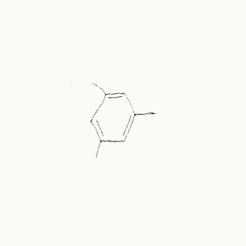 CCCCc1cc(C)cc(F)c1